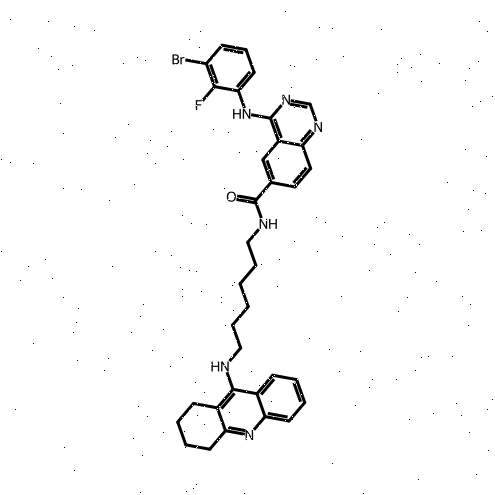 O=C(NCCCCCCNc1c2c(nc3ccccc13)CCCC2)c1ccc2ncnc(Nc3cccc(Br)c3F)c2c1